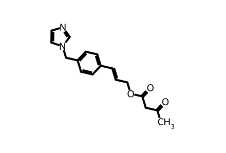 CC(=O)CC(=O)OC/C=C/c1ccc(Cn2ccnc2)cc1